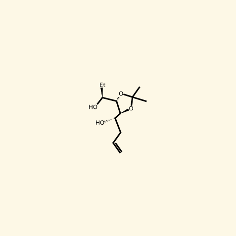 C=CC[C@H](O)[C@@H]1OC(C)(C)O[C@H]1[C@@H](O)CC